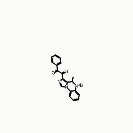 CC1c2c(C(=O)C(=O)c3ccccc3)ncn2-c2ccccc2[N+]1=O